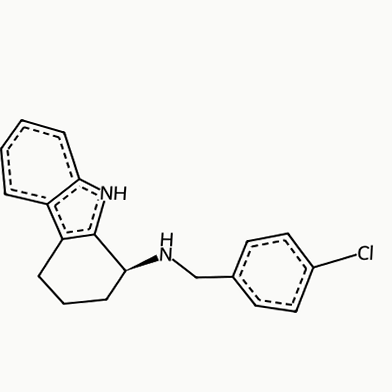 Clc1ccc(CN[C@H]2CCCc3c2[nH]c2ccccc32)cc1